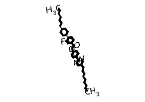 CCCCCCCCCc1cnc(-c2ccc(OC(=O)c3ccc([C@H]4CC[C@H](CCCCCCC)CC4)c(F)c3)cc2)nc1